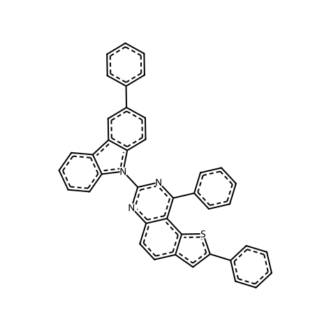 c1ccc(-c2ccc3c(c2)c2ccccc2n3-c2nc(-c3ccccc3)c3c(ccc4cc(-c5ccccc5)sc43)n2)cc1